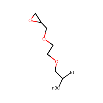 CCCCC(CC)COCCOCC1CO1